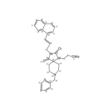 COCCN1C(=O)N(C/C=C/c2cccc3ccccc23)C(=O)C12CCN(Cc1ccccc1)CC2